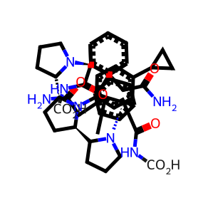 CC1(CC(N)=O)c2ccc(cc2)[C@]1(C(=O)NC(=O)O)N1CCCC1[C@H]1CC[C@H](C2CCCN2[C@@]2(C(=O)NC(=O)O)c3ccc(cc3)C2(C)CC(N)=O)N1c1ccc(C2CC2)cc1